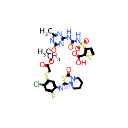 COC(=O)CSc1cc(/N=c2\sc(=O)n3n2CCCC3)c(F)cc1Cl.COc1nc(C)nc(NC(=O)NS(=O)(=O)c2ccsc2C(=O)O)n1